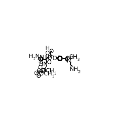 C[n+]1cc(-c2ccc(OC[C@H](O/N=C(\C(=O)NC[C@@H]3C(=O)N(OS(=O)(=O)[O-])C3(C)C)c3nsc(N)n3)C(=O)O)cc2)cn1CCCN